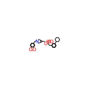 O=C(Cc1cccc(C2CCCCC2)c1O)OCC1C2CN(Cc3ccc4c(c3)OCO4)CC12